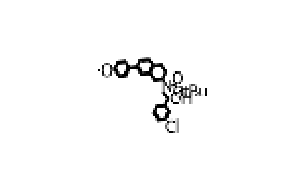 CC(C)(C)OC(=O)N(C[C@H](O)c1cccc(Cl)c1)[C@H]1CCc2ccc(-c3ccc([O])cc3)cc2C1